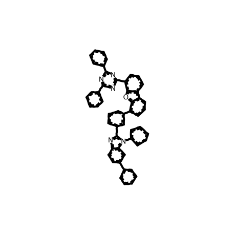 c1ccc(-c2ccc3nc(-c4cccc(-c5cccc6c5oc5c(-c7nc(-c8ccccc8)nc(-c8ccccc8)n7)cccc56)c4)n(-c4ccccc4)c3c2)cc1